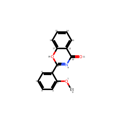 CCOc1ccccc1-c1nc(=O)c2ccccc2o1